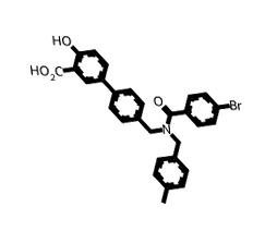 Cc1ccc(CN(Cc2ccc(-c3ccc(O)c(C(=O)O)c3)cc2)C(=O)c2ccc(Br)cc2)cc1